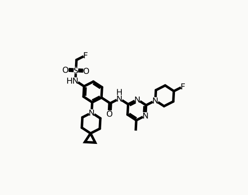 Cc1cc(NC(=O)c2ccc(NS(=O)(=O)CF)cc2N2CCC3(CC2)CC3)nc(N2CCC(F)CC2)n1